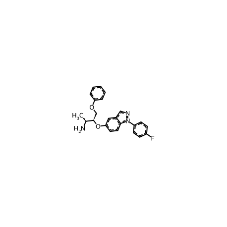 C[C@H](N)[C@@H](COc1ccccc1)Oc1ccc2c(cnn2-c2ccc(F)cc2)c1